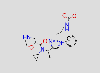 COC(=O)NCCCc1nc([C@@H](C)N(C(=O)[C@H]2CNCCO2)C2CC2)cn1-c1ccccc1